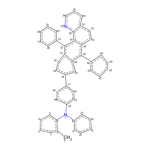 Cc1ccccc1N(c1ccccc1)c1ccc(-c2ccc3c(-c4ccccc4)c4c(ccc5cccnc54)c(-c4ccccc4)c3c2)cc1